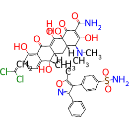 C=C(Cl)Cl.CN(C)[C@@H]1C(O)=C(C(N)=O)C(=O)[C@@]2(O)C(O)=C3C(=O)c4c(O)cccc4[C@@](C)(O)[C@H]3C[C@@H]12.Cc1onc(-c2ccccc2)c1-c1ccc(S(N)(=O)=O)cc1